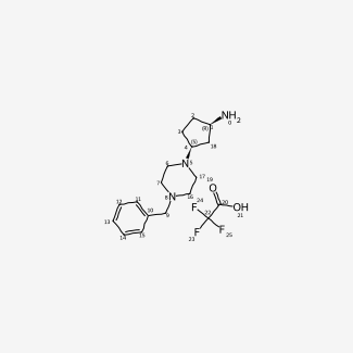 N[C@@H]1CC[C@H](N2CCN(Cc3ccccc3)CC2)C1.O=C(O)C(F)(F)F